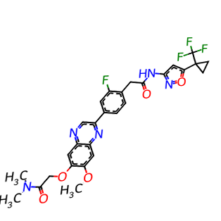 COc1cc2nc(-c3ccc(CC(=O)Nc4cc(C5(C(F)(F)F)CC5)on4)c(F)c3)cnc2cc1OCC(=O)N(C)C